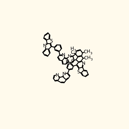 CC1C=CC(C)(c2ccc3ccc4ccc(-c5cccc(-c6c7ccccc7nc7c6sc6ccccc67)c5)nc4c3n2)C2=C1C(C)c1nc3c(sc4ccccc43)c(-c3cccc(-c4ccc5ccc6cccnc6c5n4)c3)c1C2C